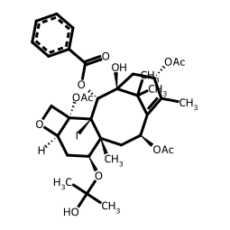 CC(=O)O[C@H]1C[C@@]2(O)[C@@H](OC(=O)c3ccccc3)[C@@]3(I)[C@]4(OC(C)=O)CO[C@@H]4C[C@H](OC(C)(C)O)[C@@]3(C)C[C@H](OC(C)=O)C(=C1C)C2(C)C